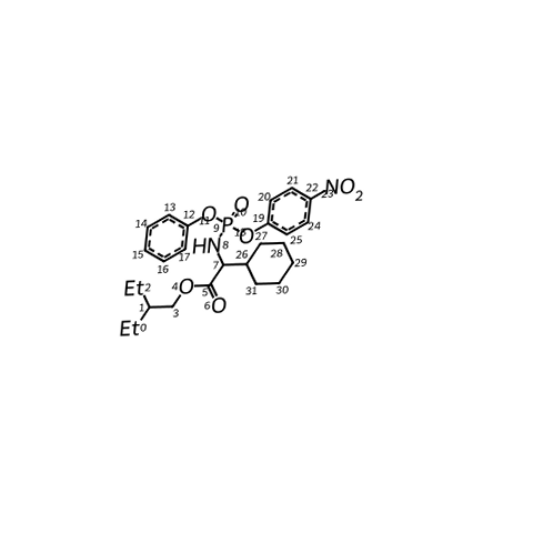 CCC(CC)COC(=O)C(NP(=O)(Oc1ccccc1)Oc1ccc([N+](=O)[O-])cc1)C1CCCCC1